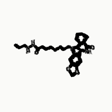 CCCNNC(=O)CCCCCCCn1c2cc3c(cc2c2[nH]c(=O)c4ccccc4c21)OCO3